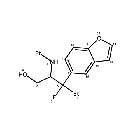 CCNC(CO)C(F)(CC)c1ccc2occc2c1